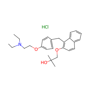 CCN(CC)CCOc1ccc(Cc2c(OCC(C)(C)O)ccc3ccccc23)cc1.Cl